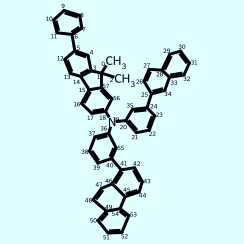 CC1(C)c2cc(-c3ccccc3)ccc2-c2ccc(N(c3cccc(-c4ccc5ccccc5c4)c3)c3cccc(-c4cccc5c4ccc4ccccc45)c3)cc21